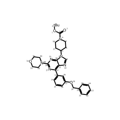 CC(C)(C)OC(=O)N1CCC(n2cnc3c(-c4cccc(OCc5ccccc5)c4)nc(N4CCOCC4)nc32)CC1